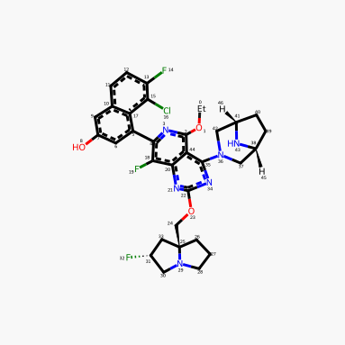 CCOc1nc(-c2cc(O)cc3ccc(F)c(Cl)c23)c(F)c2nc(OC[C@@]34CCCN3C[C@H](F)C4)nc(N3C[C@H]4CC[C@@H](C3)N4)c12